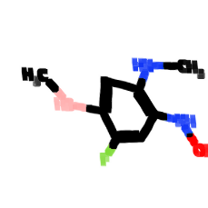 CBc1cc(NC)c(NO)cc1F